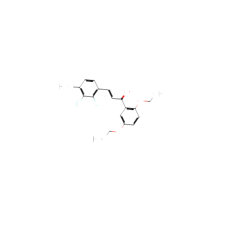 O=C(/C=C/c1ccc(C(F)(F)F)c(F)c1F)c1cc(OCC(F)(F)F)ccc1OCC(F)(F)F